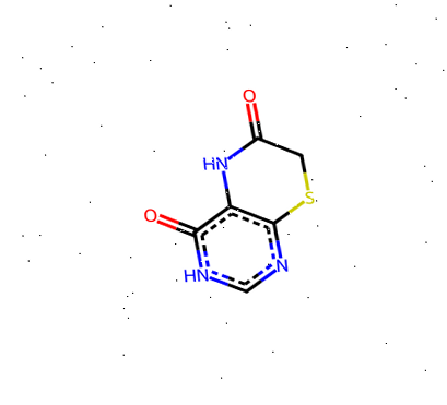 O=C1CSc2nc[nH]c(=O)c2N1